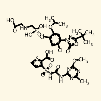 CC(C)Oc1cc(-n2nc(C(C)(C)C)oc2=O)c(Cl)cc1Cl.COc1nc(C)nc(NC(=O)NS(=O)(=O)c2ccsc2C(=O)O)n1.O=C(O)CNCP(=O)(O)O